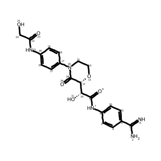 N=C(N)c1ccc(NC(=O)[C@H](O)[C@H]2OCCN(c3ccc(NC(=O)CO)cc3)C2=O)cc1